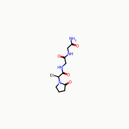 CCC(C(=O)NCC(=O)NCC(N)=O)N1CCCC1=O